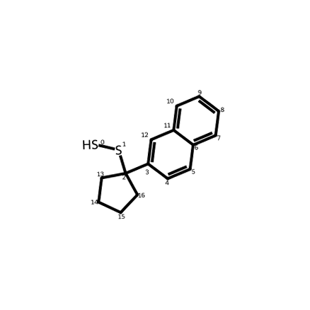 SSC1(c2ccc3ccccc3c2)CCCC1